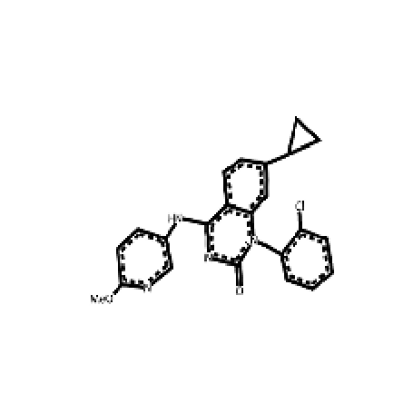 COc1ccc(Nc2nc(=O)n(-c3ccccc3Cl)c3cc(C4CC4)ccc23)cn1